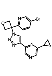 Brc1ccc(C2(n3cc(-c4cncc(C5CC5)n4)nn3)COC2)nc1